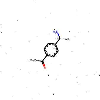 COC(=O)c1ccc([C@H](N)C(C)C)cc1